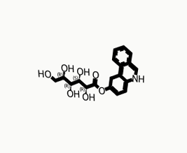 O=C(OC1=CC=C2NC=c3ccccc3=C2C1)[C@H](O)[C@@H](O)[C@H](O)[C@H](O)CO